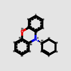 C1=C[C@H](N2c3ccccc3Oc3ccccc32)CCC1